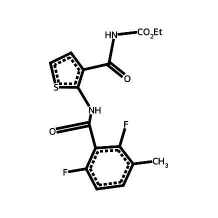 CCOC(=O)NC(=O)c1ccsc1NC(=O)c1c(F)ccc(C)c1F